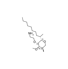 CCCCCCCCC(C)[C@@H]1OC[C@@H](C)[C@@H](OC)[C@@H]1OCCN